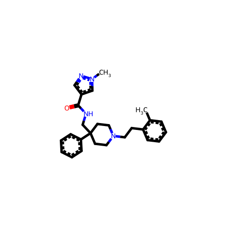 Cc1ccccc1CCN1CCC(CNC(=O)c2cnn(C)c2)(c2ccccc2)CC1